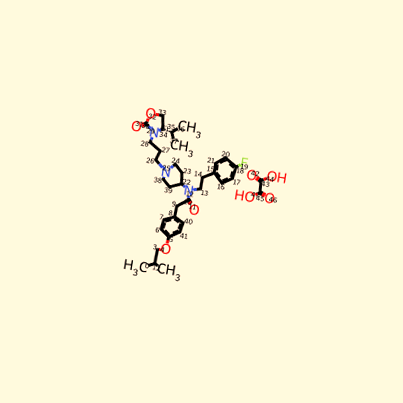 CC(C)COc1ccc(CC(=O)N(CCc2ccc(F)cc2)C2CCN(CCCN3C(=O)OC[C@@H]3C(C)C)CC2)cc1.O=C(O)C(=O)O